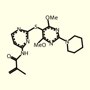 C=C(C)C(=O)Nc1ccnc(Sc2c(OC)nc(N3CCCCC3)nc2OC)n1